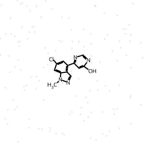 Cn1ncc2c(-c3cc(O)ncn3)cc(Cl)cc21